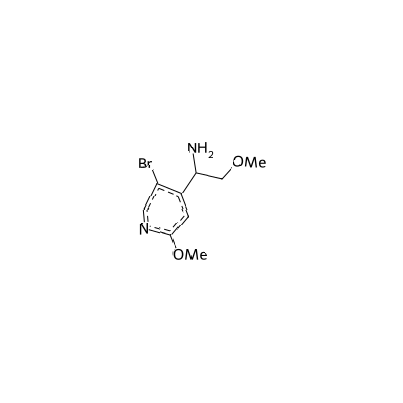 COCC(N)c1cc(OC)ncc1Br